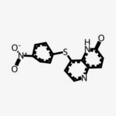 O=c1ccc2nccc(Sc3ccc([N+](=O)[O-])cc3)c2[nH]1